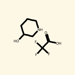 O=C(O)C(F)(F)F.OC1CCCNC1